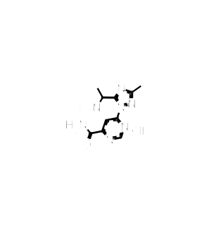 Cc1nc(C(C)N)n(-c2cc(C(N)=O)ncn2)n1.Cl